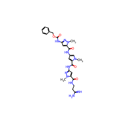 Cn1cc(NC(=O)c2cc(NC(=O)OCc3ccccc3)nn2C)cc1C(=O)Nc1cc(C(=O)NCCC(=N)N)n(C)n1